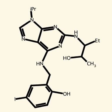 CCC(Nc1nc(NCc2cc(I)ccc2O)c2ncn(C(C)C)c2n1)C(C)O